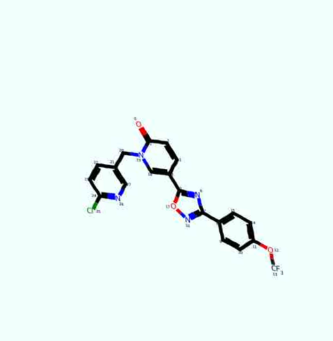 O=c1ccc(-c2nc(-c3ccc(OC(F)(F)F)cc3)no2)cn1Cc1ccc(Cl)nc1